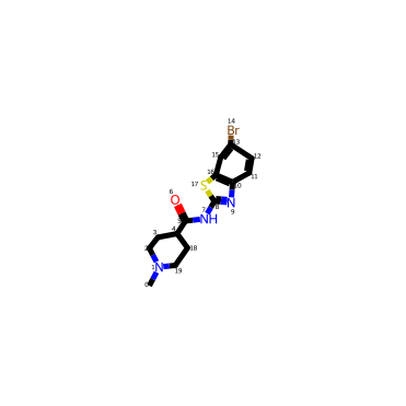 CN1CCC(C(=O)Nc2nc3ccc(Br)cc3s2)CC1